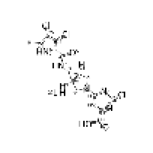 Cc1[nH]c(C(=O)NC2[C@H]3CN(c4cc(C(=O)O)nc(Cl)n4)C[C@@H]23)c(Cl)c1Cl.[LiH]